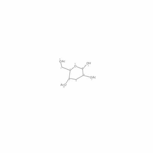 CC(=O)OCC1OC(O)C(OC(C)=O)CC1OC(C)=O